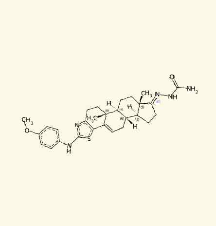 COc1ccc(Nc2nc3c(s2)C2=CC[C@@H]4[C@H](CC[C@]5(C)/C(=N/NC(N)=O)CC[C@@H]45)[C@@]2(C)CC3)cc1